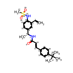 C=Cc1cc([C@@H](C)NC(=O)C=Cc2ccc(C(C)(C)C)cc2)ccc1NS(C)(=O)=O